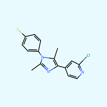 Cc1nc(-c2ccnc(Cl)c2)c(C)n1-c1ccc(F)cc1